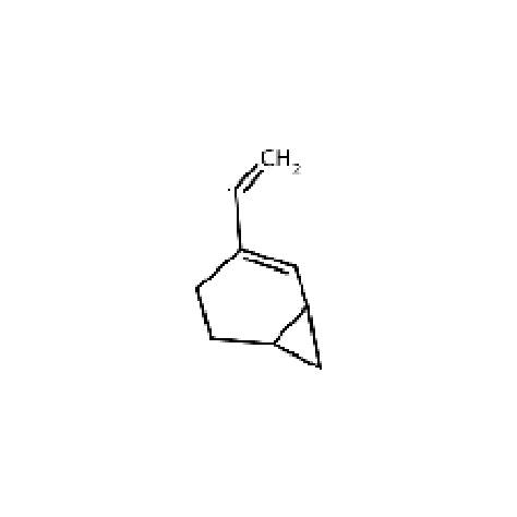 C=[C]C1=CC2CC2CC1